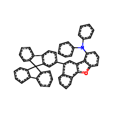 c1ccc(N(c2ccccc2)c2cccc3oc4c5ccccc5c(-c5ccc6c(c5)C5(c7ccccc7-c7ccccc75)c5ccccc5-6)cc4c23)cc1